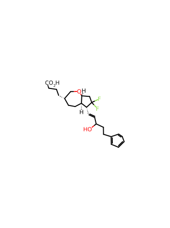 O=C(O)CCC[C@H]1CC[C@H]2[C@H](CC(F)(F)[C@@H]2/C=C/C(O)CCc2ccccc2)OC1